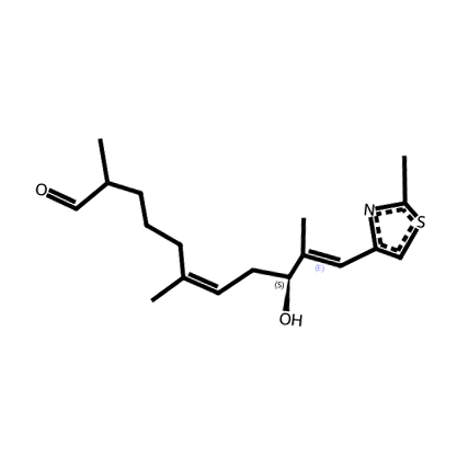 CC(=CC[C@H](O)/C(C)=C/c1csc(C)n1)CCCC(C)C=O